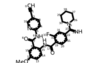 C#Cc1ccc(NC(=O)c2cc(OC)ccc2NC(=O)c2ccc(C(=N)N3CCCCC3)cc2F)nc1